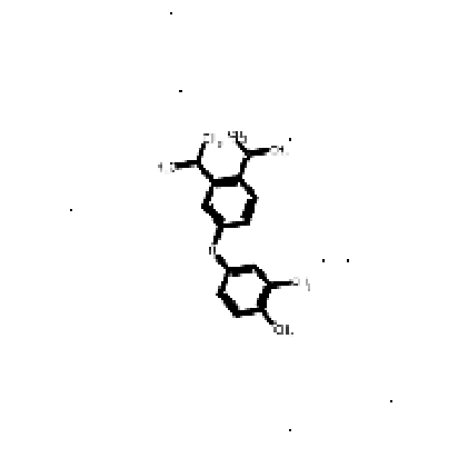 Cc1ccc(Oc2ccc(C(C)C)c(C(C)C)c2)cc1C